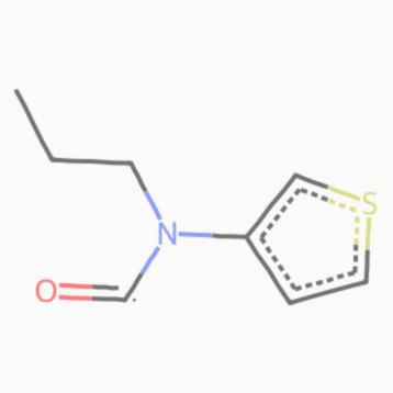 CCCN([C]=O)c1ccsc1